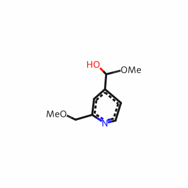 COCc1cc(C(O)OC)ccn1